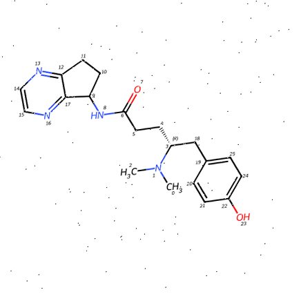 CN(C)[C@H](CCC(=O)NC1CCc2nccnc21)Cc1ccc(O)cc1